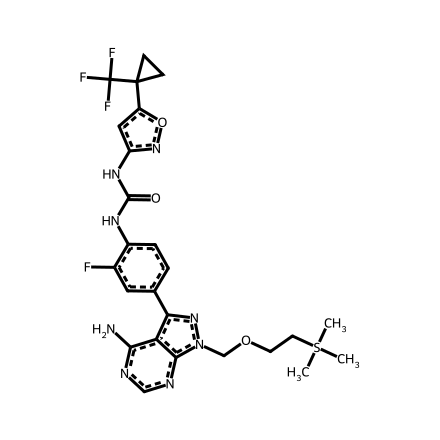 CS(C)(C)CCOCn1nc(-c2ccc(NC(=O)Nc3cc(C4(C(F)(F)F)CC4)on3)c(F)c2)c2c(N)ncnc21